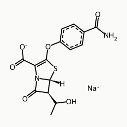 CC(O)[C@H]1C(=O)N2C(C(=O)[O-])=C(Oc3ccc(C(N)=O)cc3)S[C@H]12.[Na+]